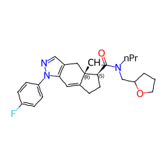 CCCN(CC1CCCO1)C(=O)[C@H]1CCC2=Cc3c(cnn3-c3ccc(F)cc3)C[C@@]21C